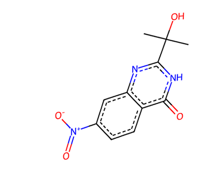 CC(C)(O)c1nc2cc([N+](=O)[O-])ccc2c(=O)[nH]1